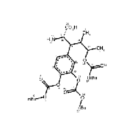 CCCCOC(=O)Oc1ccc(C(C(C)C(C)OC(=O)OCC(C)C)[C@H](N)C(=O)O)cc1OC(=O)OCCCC